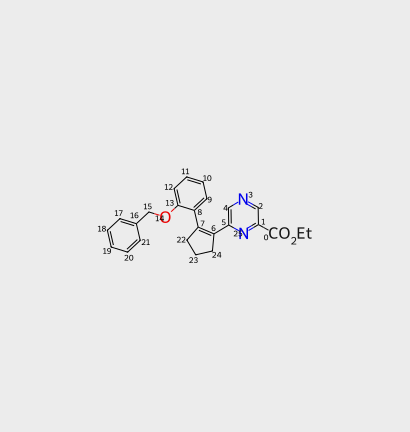 CCOC(=O)c1cncc(C2=C(c3ccccc3OCc3ccccc3)CCC2)n1